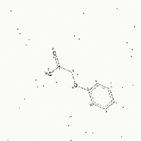 O=C(S)COc1ccccc1